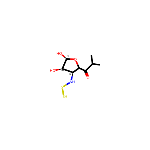 CC(C)C(=O)C1O[C@H](O)[C@H](O)[C@@H]1NSS